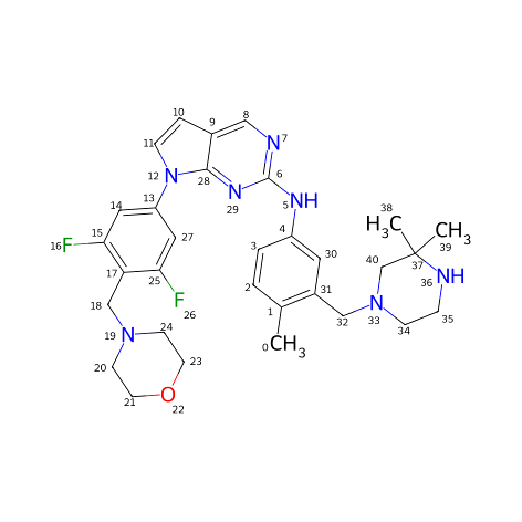 Cc1ccc(Nc2ncc3ccn(-c4cc(F)c(CN5CCOCC5)c(F)c4)c3n2)cc1CN1CCNC(C)(C)C1